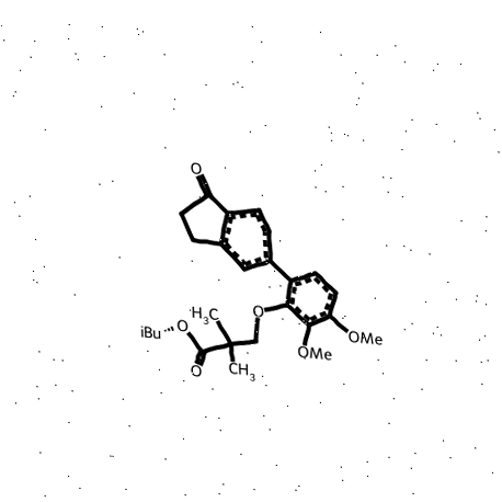 CC[C@@H](C)OC(=O)C(C)(C)COc1c(-c2ccc3c(c2)CCC3=O)ccc(OC)c1OC